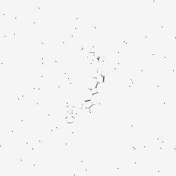 CC1=C(C)[N+](CCN(C)N2CCCC2)=C(C)/C1=C1\C(=O)C(c2c(C)c(C)n(CCN(C)N3CCCC3)c2C)=C1[O-]